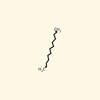 C=CCCCCCCCCCC=C